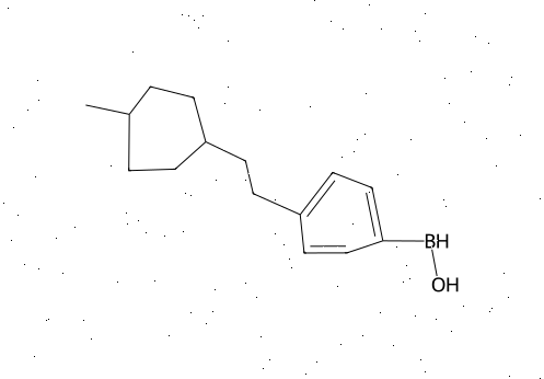 CC1CCC(CCc2ccc(BO)cc2)CC1